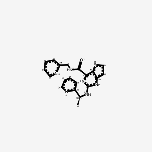 C[C@H](Nc1nc(C(=O)NCc2ccccn2)c2sccc2n1)c1ccccn1